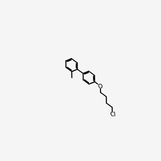 Cc1ccccc1-c1ccc(OCCCCCl)cc1